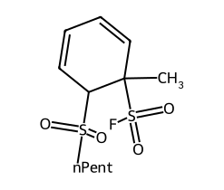 CCCCCS(=O)(=O)C1C=CC=CC1(C)S(=O)(=O)F